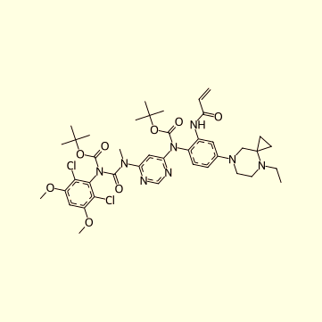 C=CC(=O)Nc1cc(N2CCN(CC)C3(CC3)C2)ccc1N(C(=O)OC(C)(C)C)c1cc(N(C)C(=O)N(C(=O)OC(C)(C)C)c2c(Cl)c(OC)cc(OC)c2Cl)ncn1